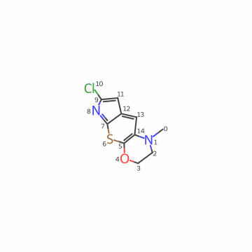 CN1CCOc2sc3nc(Cl)cc-3cc21